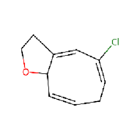 ClC1=C/CC=CC2OCC\C2=C\1